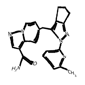 Cc1cccc(-n2nc3c(c2-c2ccn4ncc(C(N)=O)c4c2)CCC3)n1